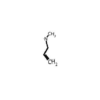 C=CC[N]C